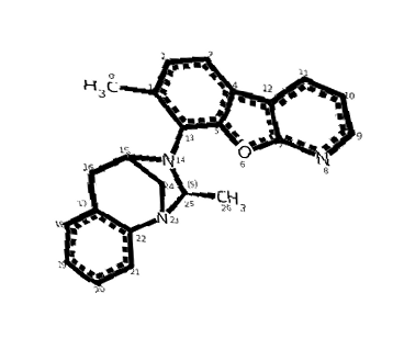 Cc1ccc2c(oc3ncccc32)c1N1C2Cc3ccccc3N(C2)[C@@H]1C